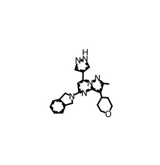 Cc1nn2c(-c3cn[nH]c3)cc(N3Cc4ccccc4C3)nc2c1C1CCOCC1